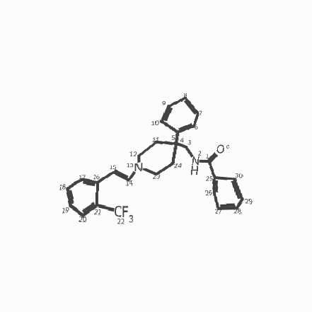 O=C(NCC1(c2ccccc2)CCN(C=Cc2ccccc2C(F)(F)F)CC1)c1ccccc1